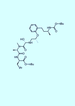 CCCCOC(=O)[C@@H](CC(C)C)NC(=O)[C@@H](C)N(C)C(=O)[C@H](O)NC[C@@H](C)Oc1ccccc1CC[C@H](C)NC(=O)OC(C)(C)C